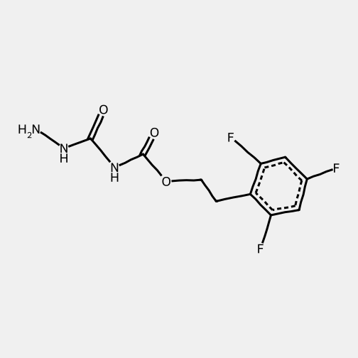 NNC(=O)NC(=O)OCCc1c(F)cc(F)cc1F